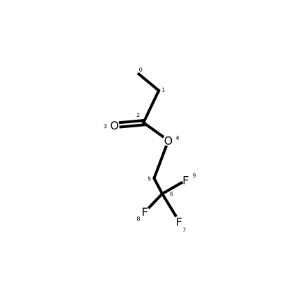 C[CH]C(=O)OCC(F)(F)F